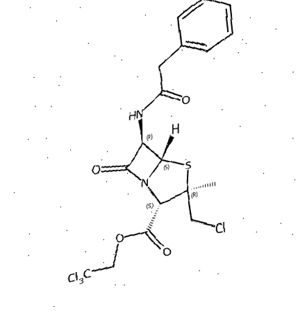 C[C@@]1(CCl)S[C@H]2[C@H](NC(=O)Cc3ccccc3)C(=O)N2[C@H]1C(=O)OCC(Cl)(Cl)Cl